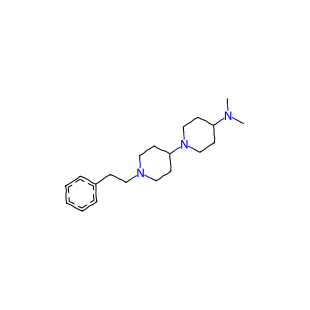 CN(C)C1CCN(C2CCN(CCc3ccccc3)CC2)CC1